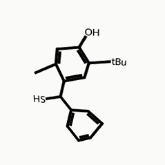 Cc1cc(O)c(C(C)(C)C)cc1C(S)c1ccccc1